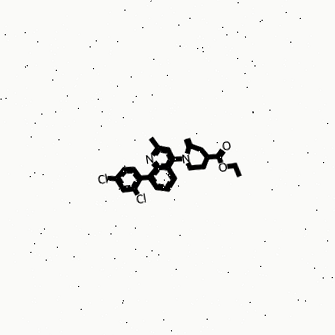 C=C1CC(C(=O)OCC)CCN1c1cc(C)nc2c(-c3ccc(Cl)cc3Cl)cccc12